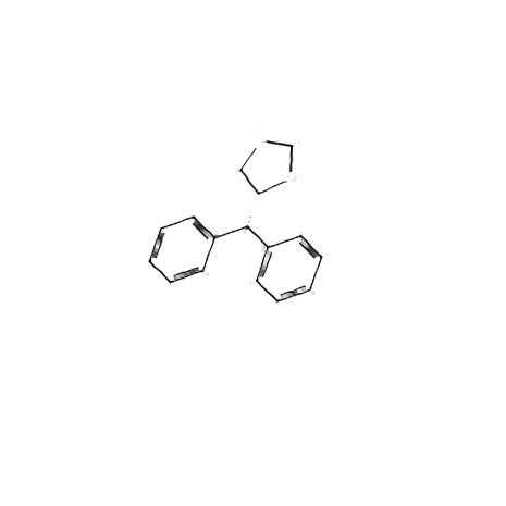 c1ccc(C(c2ccccc2)[C@@H]2CSCN2)cc1